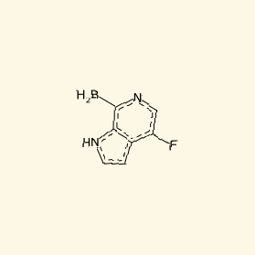 Bc1ncc(F)c2cc[nH]c12